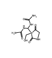 NC(=O)NC(NC(N)=O)[N+]1(CO)C(=O)CNC1=O